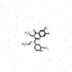 CCC[C@H](c1nc2cc(F)c(Br)cc2c(=O)n1CC)N1CCN[C@H](C)C1